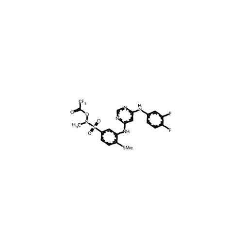 CSc1ccc(S(=O)(=O)N(C)OC(=O)C(F)(F)F)cc1Nc1cc(Nc2ccc(F)c(F)c2)ncn1